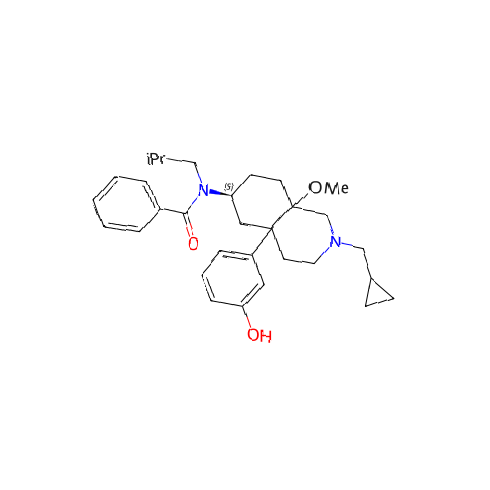 COC12CC[C@H](N(CC(C)C)C(=O)c3ccccc3)CC1(c1cccc(O)c1)CCN(CC1CC1)C2